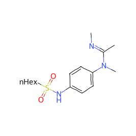 CCCCCCS(=O)(=O)Nc1ccc(N(C)C(C)=NC)cc1